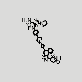 NC(=O)c1ncc(N2CCCCC2)nc1Nc1ccc(C2CCN(C3CC(c4cc5onc(C6CCC(=O)NC6=O)c5c5ccccc45)C3)CC2)cc1